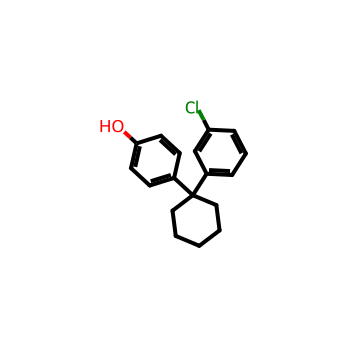 Oc1ccc(C2(c3cccc(Cl)c3)CCCCC2)cc1